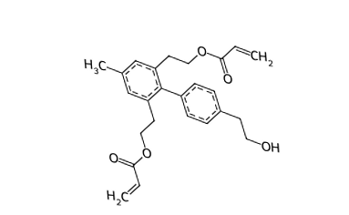 C=CC(=O)OCCc1cc(C)cc(CCOC(=O)C=C)c1-c1ccc(CCO)cc1